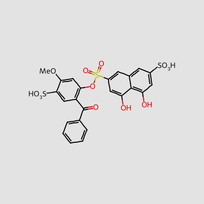 COc1cc(OS(=O)(=O)c2cc(O)c3c(O)cc(S(=O)(=O)O)cc3c2)c(C(=O)c2ccccc2)cc1S(=O)(=O)O